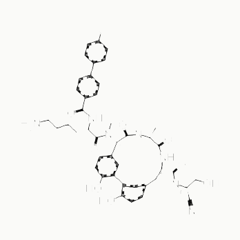 C[C@@H]1NC(=O)[C@@H](N(C)C(=O)[C@H](CCCCN)NC(=O)c2ccc(-c3ccc(Cl)cc3)cc2)c2ccc(O)c(c2)-c2cc(ccc2O)C[C@@H](C(=O)N[C@H](C#N)CO)NC1=O